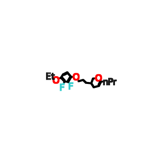 CCCC1=CCC(CCCOc2ccc(OCC)c(F)c2F)CO1